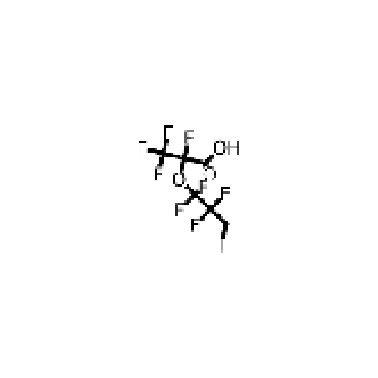 O=C(O)C(F)(OC(F)(F)C(F)(F)CI)C(F)(F)F